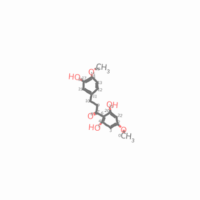 COc1cc(O)c(C(=O)CCc2ccc(OC)c(O)c2)c(O)c1